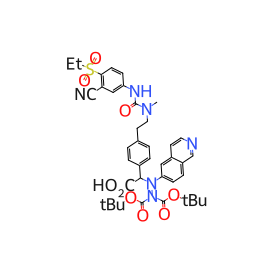 CCS(=O)(=O)c1ccc(NC(=O)N(C)CCc2ccc(C(C(=O)O)N(c3ccc4cnccc4c3)N(C(=O)OC(C)(C)C)C(=O)OC(C)(C)C)cc2)cc1C#N